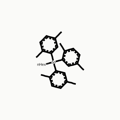 CCCCC[CH2][Sn]([c]1cc(C)ccc1C)([c]1cc(C)ccc1C)[c]1cc(C)ccc1C